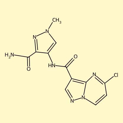 Cn1cc(NC(=O)c2cnn3ccc(Cl)nc23)c(C(N)=O)n1